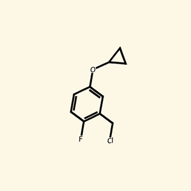 Fc1ccc(OC2CC2)cc1CCl